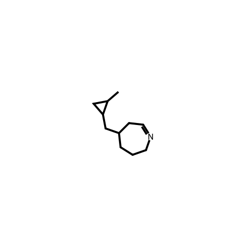 CC1CC1CC1CC=NCCC1